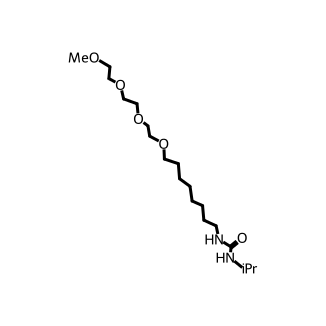 COCCOCCOCCOCCCCCCCCNC(=O)NC(C)C